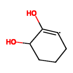 OC1=[C]CCCC1O